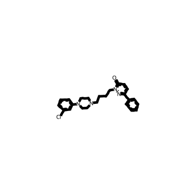 O=c1ccc(-c2ccccc2)nn1CCCCN1CCN(c2cccc(Cl)c2)CC1